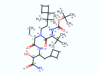 CC[C@@H](C(=O)NC(CC1CCC1)C(O)C(N)=O)N(CCC(C)(C)C1(C)CCC1)C(=O)[C@@H](NC(=O)OC(C)(C)C)C(C)(C)C